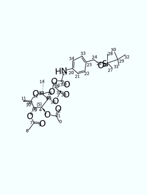 CC(=O)O[C@H]1[C@H](OC(C)=O)[C@@H](C)O[C@@](C)(OOC(=O)Nc2ccc(CO[Si](C)(C)C(C)(C)C)cc2)[C@@H]1OC(C)=O